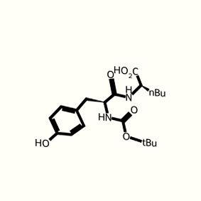 CCCC[C@@H](NC(=O)[C@H](Cc1ccc(O)cc1)NC(=O)OC(C)(C)C)C(=O)O